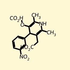 CC1=C(CC(=O)O)C(c2cccc([N+](=O)[O-])c2)C(OC(=O)O)=C(C)N1